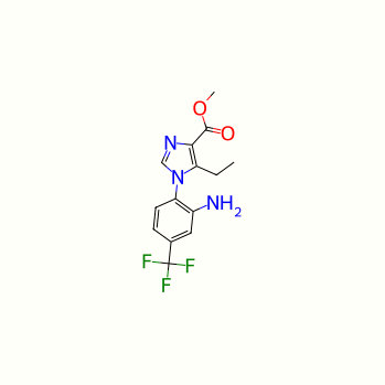 CCc1c(C(=O)OC)ncn1-c1ccc(C(F)(F)F)cc1N